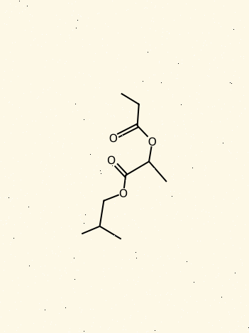 CCC(=O)OC(C)C(=O)OCC(C)C